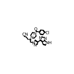 N#CCCC[C@H](Cn1cc(-c2ncnc3[nH]ccc23)cn1)N1CCN(C(=O)c2ccc(Cl)cc2)CC1